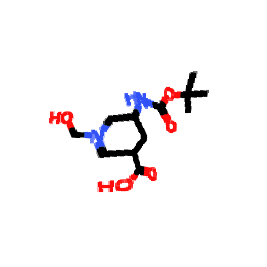 CC(C)(C)OC(=O)NC1CC(C(=O)O)CN(CO)C1